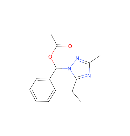 CCc1nc(C)nn1C(OC(C)=O)c1ccccc1